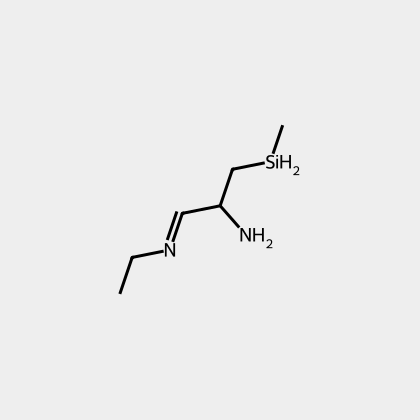 CCN=CC(N)C[SiH2]C